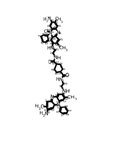 CC1=CC2=Nc3cc(NCCNC(=O)C4CCC(C(=O)NCCNC5=CC6C(=Nc7cc(C)c(N)cc7[N+]6(Cl)c6ccccc6)C=C5C)CC4)c(C)cc3N(c3ccccc3)C2C=C1N